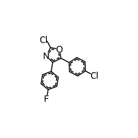 Fc1ccc(-c2nc(Cl)oc2-c2ccc(Cl)cc2)cc1